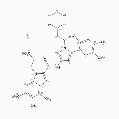 COc1cc(-c2nc(NC(=O)c3cc4c(C)c(C)c(OC)cc4n3CCC(=O)O)nn2CCC2CCCCC2)c(OC)cc1C.[K]